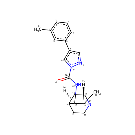 Cc1cccc(-c2cnn(C(=O)N[C@@H]3C4CCN(CC4)[C@H]3C)c2)c1